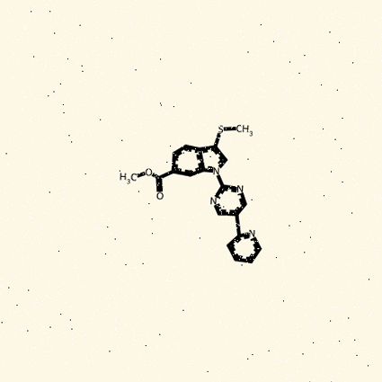 COC(=O)c1ccc2c(SC)cn(-c3ncc(-c4ccccn4)cn3)c2c1